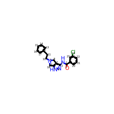 O=C(Nc1n[nH]c2c1CN(CCc1ccccc1)C2)c1cccc(Cl)c1